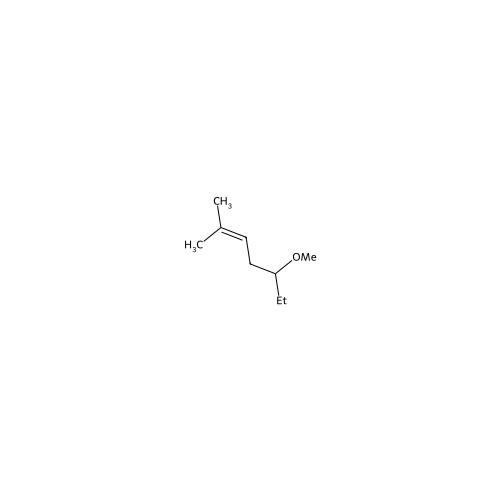 CCC(CC=C(C)C)OC